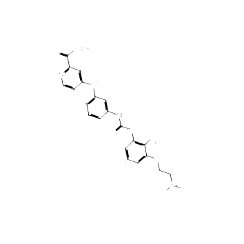 CNC(=O)c1cc(Oc2cccc(NC(=O)Nc3cccc(OCCN(C)C)c3C(F)(F)F)c2)ccn1